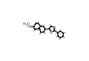 COc1ccc2cc(-c3cnc(-c4ccccc4)o3)ccc2c1